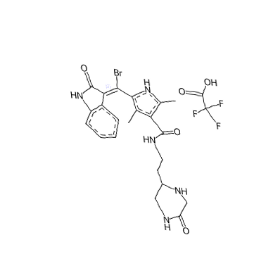 Cc1[nH]c(/C(Br)=C2/C(=O)Nc3ccccc32)c(C)c1C(=O)NCCC1CNC(=O)CN1.O=C(O)C(F)(F)F